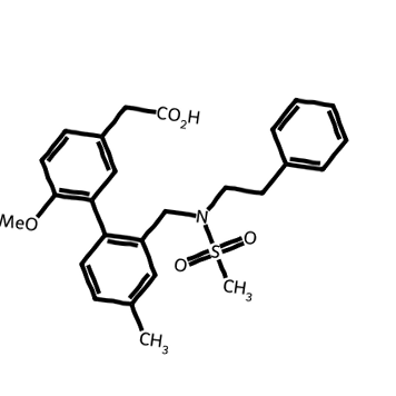 COc1ccc(CC(=O)O)cc1-c1ccc(C)cc1CN(CCc1ccccc1)S(C)(=O)=O